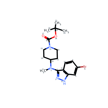 CN(c1n[nH]c2cc(Br)ccc12)C1CCN(C(=O)OC(C)(C)C)CC1